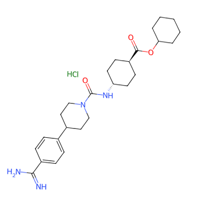 Cl.N=C(N)c1ccc(C2CCN(C(=O)N[C@H]3CC[C@H](C(=O)OC4CCCCC4)CC3)CC2)cc1